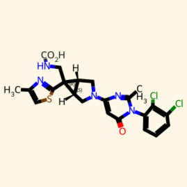 Cc1csc(C2(CNC(=O)O)[C@@H]3CN(c4cc(=O)n(-c5cccc(Cl)c5Cl)c(C)n4)C[C@@H]32)n1